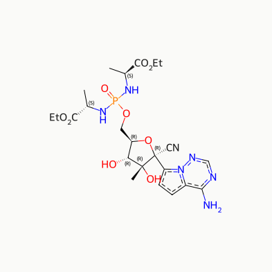 CCOC(=O)[C@H](C)NP(=O)(N[C@@H](C)C(=O)OCC)OC[C@H]1O[C@@](C#N)(c2ccc3c(N)ncnn23)[C@](C)(O)[C@@H]1O